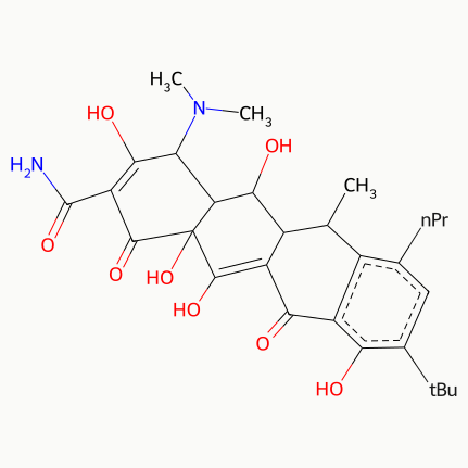 CCCc1cc(C(C)(C)C)c(O)c2c1C(C)C1C(=C(O)C3(O)C(=O)C(C(N)=O)=C(O)C(N(C)C)C3C1O)C2=O